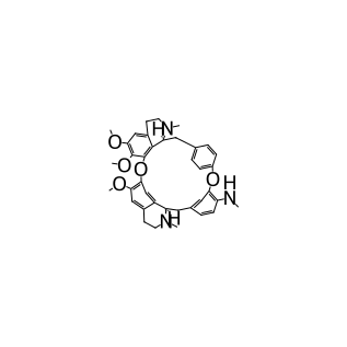 CNc1ccc2cc1Oc1ccc(cc1)C[C@H]1c3c(cc(OC)c(OC)c3Oc3cc4c(cc3OC)CCN(C)[C@@H]4C2)CCN1C